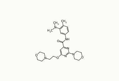 Cc1ccc(NC(=O)c2cc(OCCN3CCOCC3)nc(N3CCOCC3)n2)cc1N(C)C